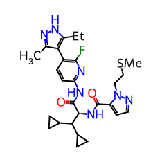 CCc1[nH]nc(C)c1-c1ccc(NC(=O)[C@@H](NC(=O)c2ccnn2CCSC)C(C2CC2)C2CC2)nc1F